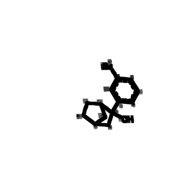 CCC(C)c1cccc(C2(O)CC3CCC2C3)c1